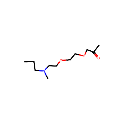 CCCN(C)CCOCCOCC(C)=O